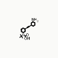 CC(C)(C)N(C(=O)O)c1cccc(C#Cc2cccc(N)c2)c1